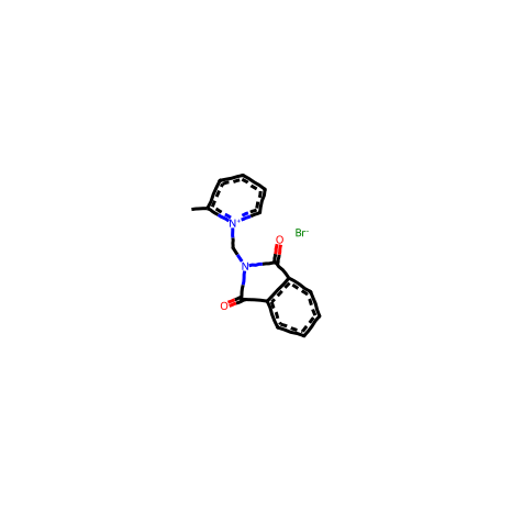 Cc1cccc[n+]1CN1C(=O)c2ccccc2C1=O.[Br-]